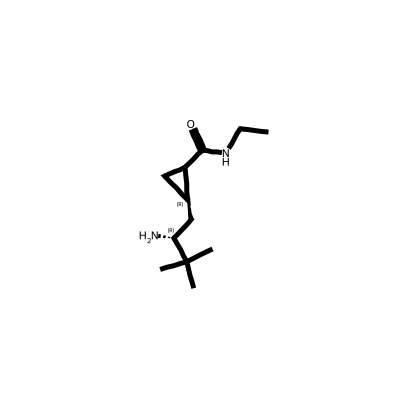 CCNC(=O)C1C[C@@H]1C[C@@H](N)C(C)(C)C